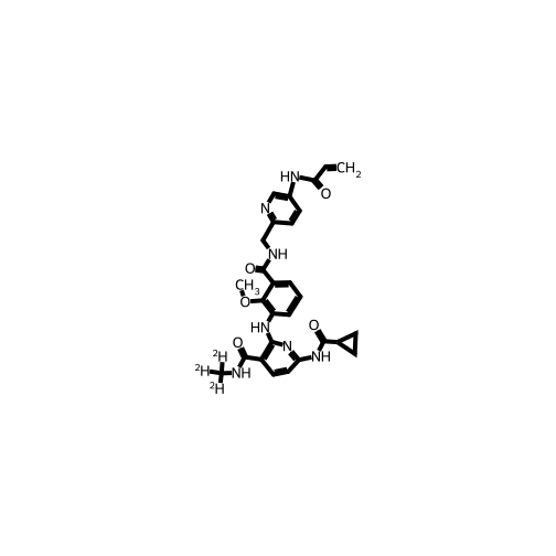 [2H]C([2H])([2H])NC(=O)c1ccc(NC(=O)C2CC2)nc1Nc1cccc(C(=O)NCc2ccc(NC(=O)C=C)cn2)c1OC